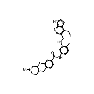 CCN1CCN(Cc2ccc(C(=O)Nc3ccc(C)c(NCc4cnc5[nH]ccc5c4CI)c3)cc2C(F)(F)F)CC1